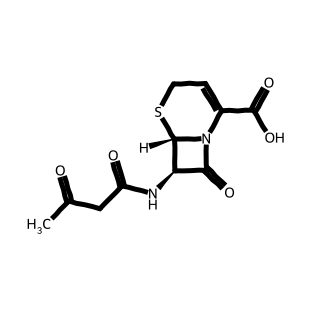 CC(=O)CC(=O)N[C@@H]1C(=O)N2C(C(=O)O)=CCS[C@@H]12